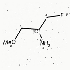 COC[C@@H](N)CF